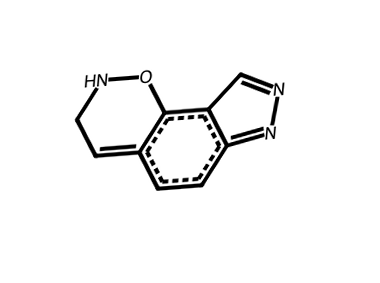 C1=NN=c2ccc3c(c21)ONCC=3